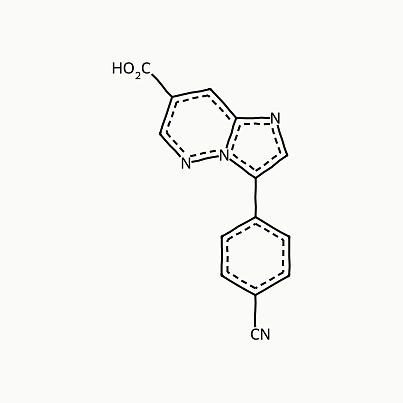 N#Cc1ccc(-c2cnc3cc(C(=O)O)cnn23)cc1